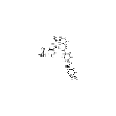 CNC(=O)CCC(C=O)N(C)Cc1c(C=O)cccc1OCc1ccc(CNC2CC3CC(C)C(C3)C2)cc1